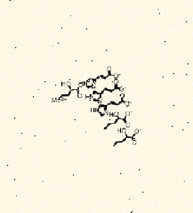 CCCC(O)C(=O)[O-].CCCC(O)C(=O)[O-].CCCC(O)C(=O)[O-].O=C([O-])C=Cc1c[nH]cn1.O=C([O-])C=Cc1c[nH]cn1.O=C([O-])C=Cc1c[nH]cn1.[Mo+6]